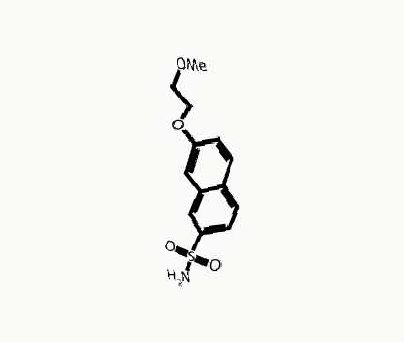 COCCOc1ccc2ccc(S(N)(=O)=O)cc2c1